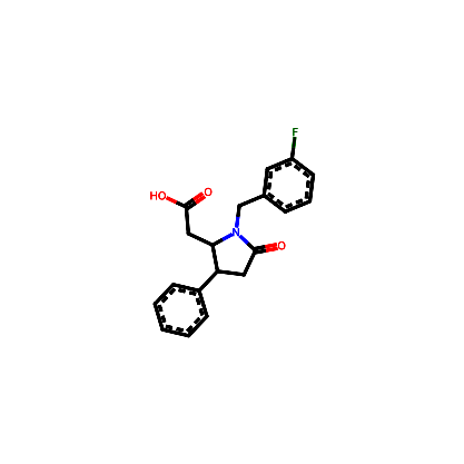 O=C(O)CC1C(c2ccccc2)CC(=O)N1Cc1cccc(F)c1